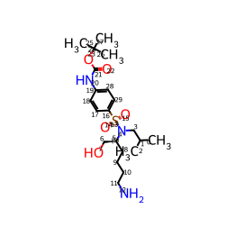 CC(C)CN([C@H](CO)CCCCN)S(=O)(=O)c1ccc(NC(=O)OC(C)(C)C)cc1